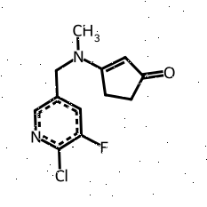 CN(Cc1cnc(Cl)c(F)c1)C1=CC(=O)CC1